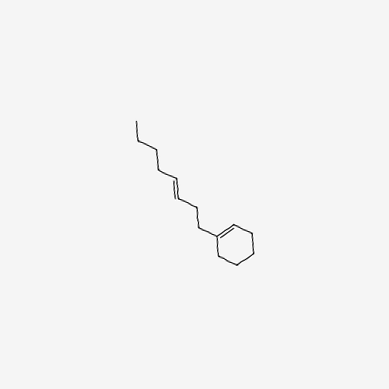 CCCCC=CCCC1=CCCCC1